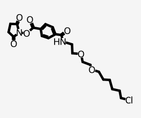 O=C(NCCOCCOCCCCCCCl)c1ccc(C(=O)ON2C(=O)CCC2=O)cc1